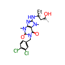 CC[C@@H](C[C@@H](C)O)Nc1nc2c(c(=O)n(Cc3ccc(Cl)c(Cl)c3)c(=O)n2C)n1C